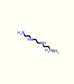 B.NCCNCCNCCN